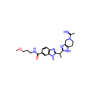 COCCCNC(=O)c1ccc2nc(C(C)c3nc4c([nH]3)CCN(C(C)=N)C4)n(C)c2c1